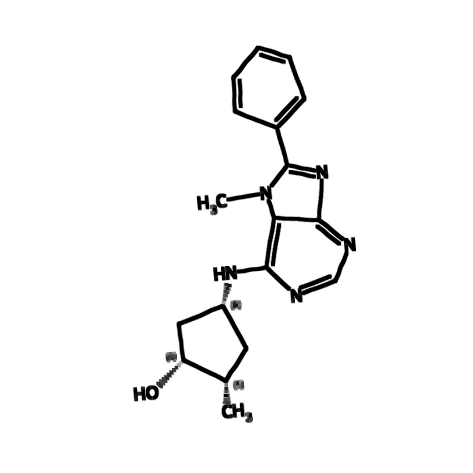 C[C@H]1C[C@@H](Nc2ncnc3nc(-c4ccccc4)n(C)c23)C[C@H]1O